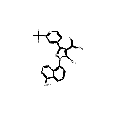 COc1nccc2c(-n3nc(-c4ccnc(C(C)(F)F)c4)c(C(N)=O)c3C(F)(F)F)cccc12